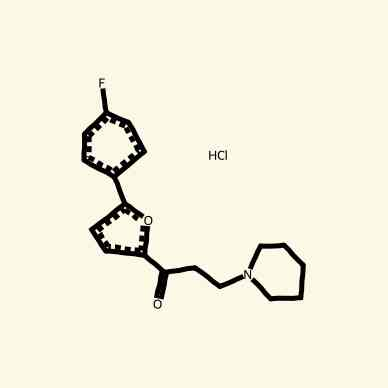 Cl.O=C(CCN1CCCCC1)c1ccc(-c2ccc(F)cc2)o1